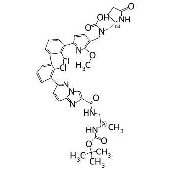 COc1nc(-c2cccc(-c3cccc(-c4ccc5nc(C(=O)NC[C@H](C)NC(=O)OC(C)(C)C)cn5n4)c3Cl)c2Cl)ccc1CN(C[C@@H]1CCC(=O)N1)C(=O)O